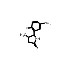 CC1CC(=O)NC1c1cc([N+](=O)[O-])ccc1F